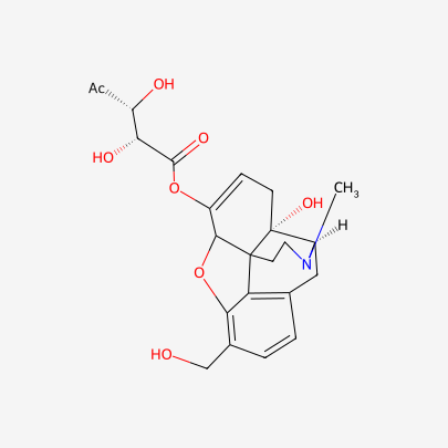 CC(=O)[C@H](O)[C@@H](O)C(=O)OC1=CC[C@@]2(O)[C@H]3Cc4ccc(CO)c5c4C2(CCN3C)C1O5